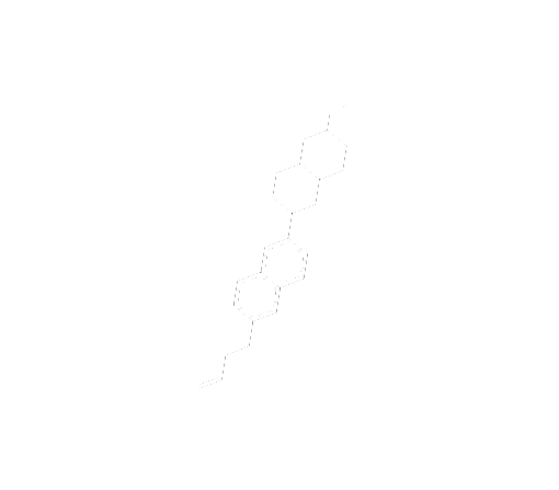 C=CCCc1ccc2cc(C3CCC4CC(CCCCC)CCC4C3)ccc2c1